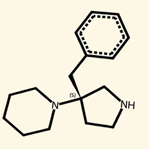 c1ccc(C[C@]2(N3CCCCC3)CCNC2)cc1